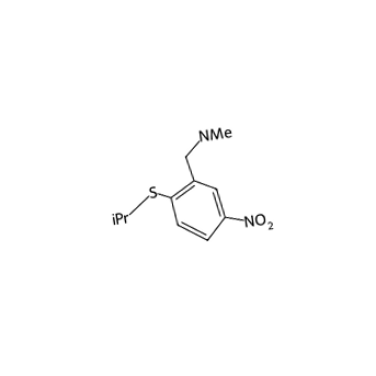 CNCc1cc([N+](=O)[O-])ccc1SC(C)C